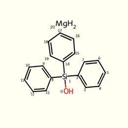 O[Si](c1ccccc1)(c1ccccc1)c1ccccc1.[MgH2]